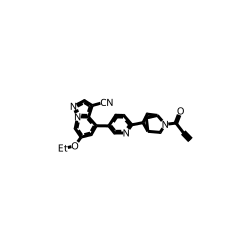 C#CC(=O)N1CC2CC1CC2c1ccc(-c2cc(OCC)cn3ncc(C#N)c23)cn1